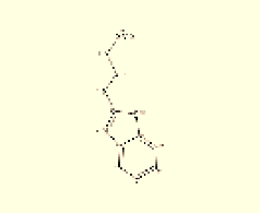 CSSSSc1nc2ccccc2s1